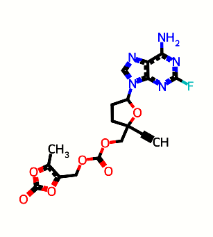 C#CC1(COC(=O)OCc2oc(=O)oc2C)CCC(n2cnc3c(N)nc(F)nc32)O1